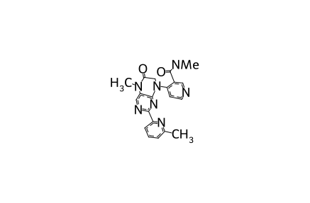 CNC(=O)c1cnccc1N1CC(=O)N(C)c2cnc(-c3cccc(C)n3)nc21